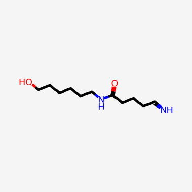 N=CCCCC(=O)NCCCCCCO